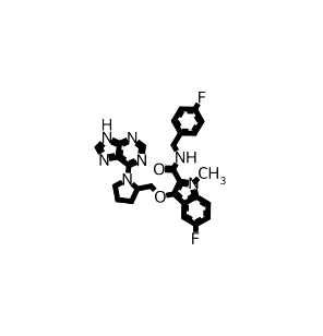 Cn1c(C(=O)NCc2ccc(F)cc2)c(OCC2CCCN2c2ncnc3[nH]cnc23)c2cc(F)ccc21